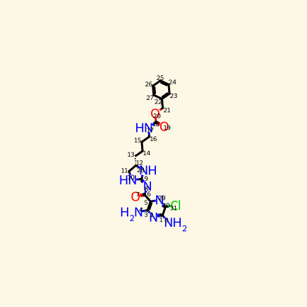 Nc1nc(N)c(C(=O)/N=C2\NC[C@H](CCCCNC(=O)OCc3ccccc3)N2)nc1Cl